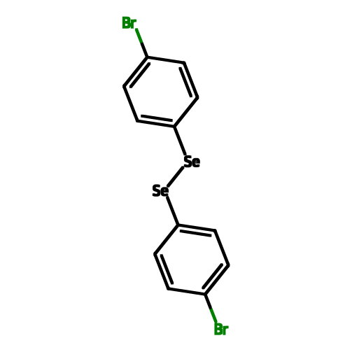 Brc1ccc([Se][Se]c2ccc(Br)cc2)cc1